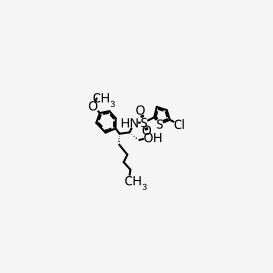 CCCCC[C@H](c1ccc(OC)cc1)[C@@H](CO)NS(=O)(=O)c1ccc(Cl)s1